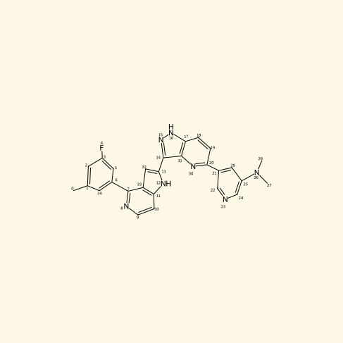 Cc1cc(F)cc(-c2nccc3[nH]c(-c4n[nH]c5ccc(-c6cncc(N(C)C)c6)nc45)cc23)c1